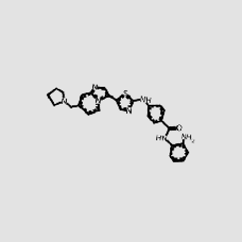 Nc1ccccc1NC(=O)c1ccc(Nc2ncc(-c3cnc4cc(CN5CCCC5)ccn34)s2)cc1